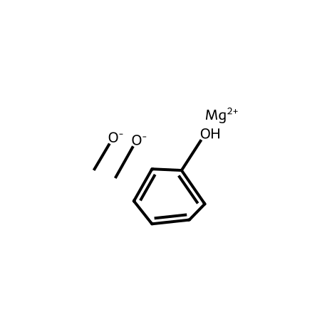 C[O-].C[O-].Oc1ccccc1.[Mg+2]